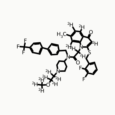 [2H]c1c(C)c([2H])c2c(c1[2H])c(=O)c([2H])c(SCc1cccc(F)c1F)n2C([2H])([2H])C(=O)N(Cc1ccc(-c2ccc(C(F)(F)F)cc2)cc1)C1CCN(C([2H])([2H])C([2H])([2H])OC([2H])([2H])[2H])CC1